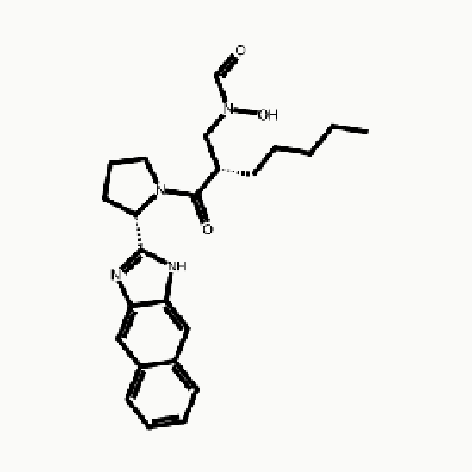 CCCCC[C@@H](CN(O)C=O)C(=O)N1CCC[C@H]1c1nc2cc3ccccc3cc2[nH]1